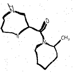 CC1CCCCN1C(=O)C1CNCC[N]1